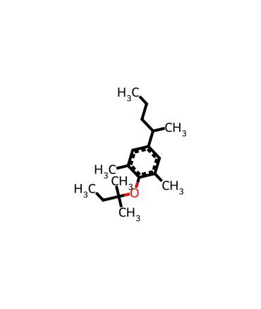 CCCC(C)c1cc(C)c(OC(C)(C)CC)c(C)c1